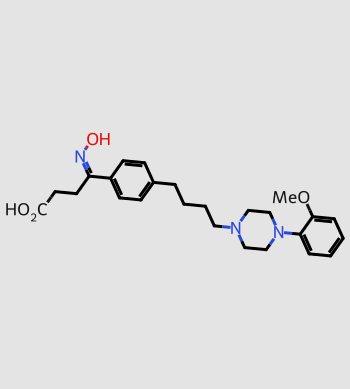 COc1ccccc1N1CCN(CCCCc2ccc(/C(CCC(=O)O)=N\O)cc2)CC1